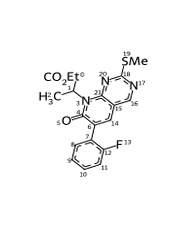 CCOC(=O)C(C)n1c(=O)c(-c2ccccc2F)cc2cnc(SC)nc21